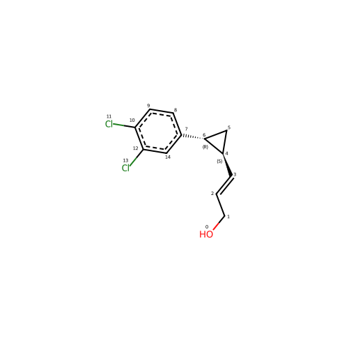 OCC=C[C@@H]1C[C@H]1c1ccc(Cl)c(Cl)c1